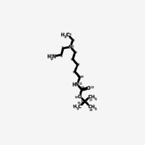 CCN(CCN)CCCCCNC(=O)OC(C)(C)C